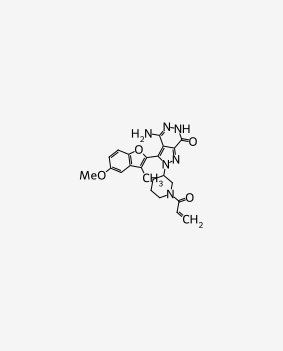 C=CC(=O)N1CCCC(n2nc3c(=O)[nH]nc(N)c3c2-c2oc3ccc(OC)cc3c2C)C1